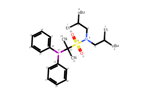 CCCCC(CC)CN(CC(CC)CCCC)S(=O)(=O)C(C#N)(C#N)[I+](c1ccccc1)c1ccccc1